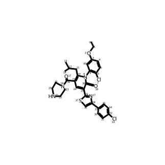 CCOc1ccc(Cl)c(-n2c(CC(C)C)c(C(=O)N3CCNCC3)cc(-c3nc(-c4ccc(Cl)cc4)cs3)c2=O)c1